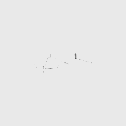 CCC(C)C(=O)OCC[N+](C)(C)CC